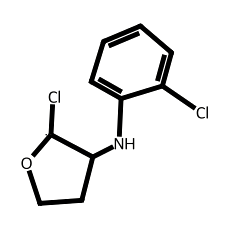 Cl[C]1OCCC1Nc1ccccc1Cl